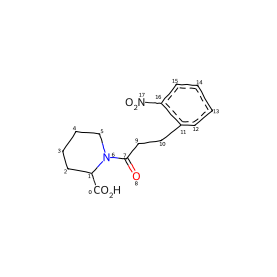 O=C(O)C1CCCCN1C(=O)CCc1ccccc1[N+](=O)[O-]